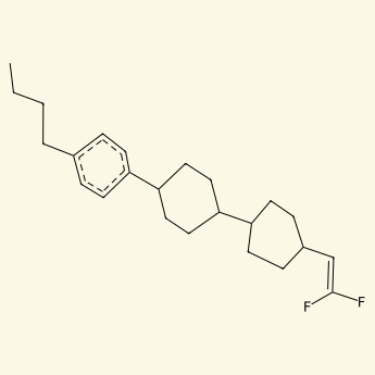 CCCCc1ccc(C2CCC(C3CCC(C=C(F)F)CC3)CC2)cc1